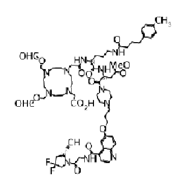 C#C[C@H]1CC(F)(F)CN1C(=O)CNC(=O)c1ccnc2ccc(OCCCN3CCN(C(=O)[C@H](CC(=O)OC)NC(=O)[C@H](CCCNC(=O)CCCc4ccc(C)cc4)NC(=O)CN4CCN(COC=O)CCN(COC=O)CCN(CC(=O)O)CC4)CC3)cc12